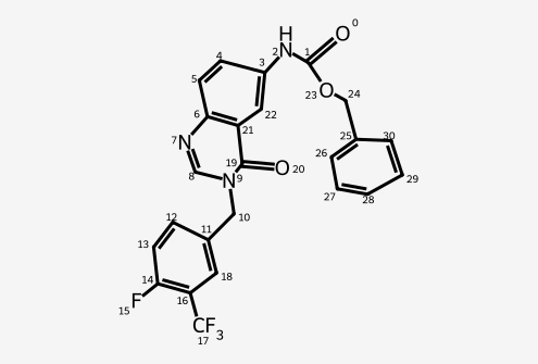 O=C(Nc1ccc2ncn(Cc3ccc(F)c(C(F)(F)F)c3)c(=O)c2c1)OCc1ccccc1